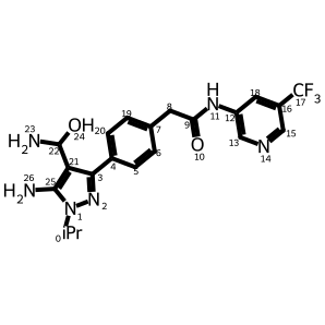 CC(C)n1nc(-c2ccc(CC(=O)Nc3cncc(C(F)(F)F)c3)cc2)c(C(N)O)c1N